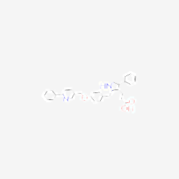 O=C(O)CCc1c(-c2ccccc2)c[nH]c1Cc1ccc(OCc2ccc(-c3ccccc3)nc2)cc1